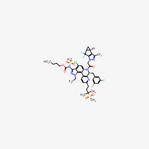 CC(C)(CCc1ccc(-c2ccc(Cl)c3c(N(C(=O)OCCCC(=O)O)S(C)(=O)=O)nn(CC(F)(F)F)c23)c([C@H](Cc2cc(F)cc(F)c2)NC(=O)Cn2nc(C(F)(F)F)c3c2C(F)(F)C2C[C@H]32)n1)S(C)(=O)=O